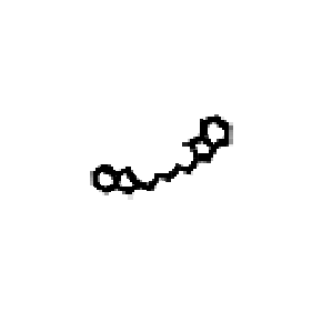 [CH]1C(CCCCCC2=Cc3ccccc3[CH]2)=Cc2ccccc21